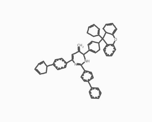 C=C1C=C(c2ccc(C3C=CC=CC3)cc2)N=C(c2ccc(-c3ccccc3)cc2)NC1C1=CCC(C2(C3=CC=CCC3)c3ccccc3OC3=CC=CCC32)C=C1